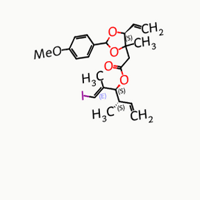 C=C[C@@H]1OC(c2ccc(OC)cc2)OC1(C)CC(=O)O[C@H](/C(C)=C/I)[C@@H](C)C=C